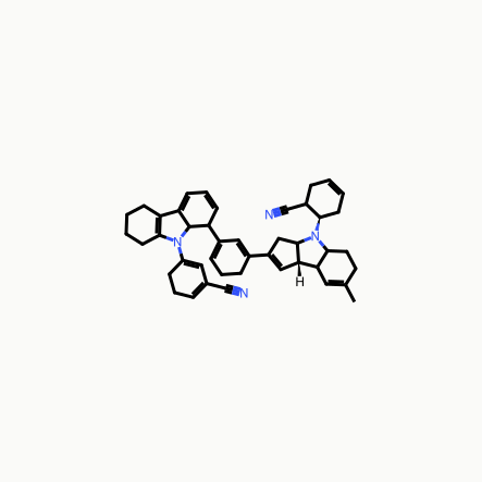 CC1=CC2C(CC1)N([C@@H]1CC=CCC1C#N)C1CC(C3=CC(C4C=CC=C5C6=C(CCCC6)N(C6=CC(C#N)=CCC6)C54)=CCC3)=C[C@@H]21